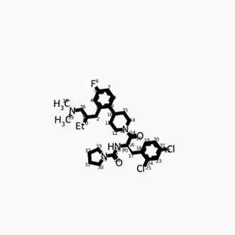 CCC(Cc1cc(F)ccc1C1CCN(C(=O)[C@@H](Cc2ccc(Cl)cc2Cl)NC(=O)N2CCCC2)CC1)CN(C)C